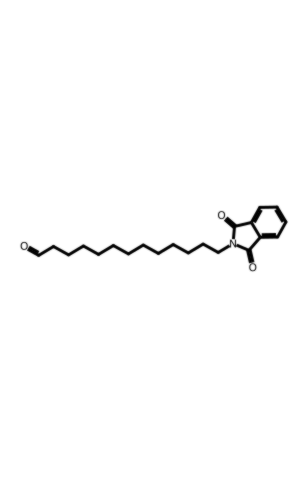 O=CCCCCCCCCCCCCN1C(=O)c2ccccc2C1=O